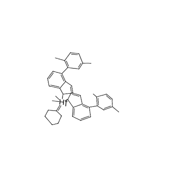 Cc1ccc(C)c(-c2cccc3c2C=C[CH]3[Hf]([CH3])([CH3])(=[C]2CCCCC2)[CH]2C=Cc3c(-c4cc(C)ccc4C)cccc32)c1